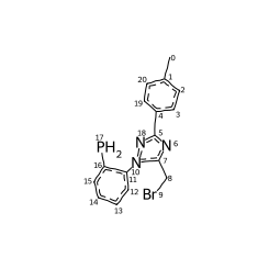 Cc1ccc(-c2nc(CBr)n(-c3ccccc3P)n2)cc1